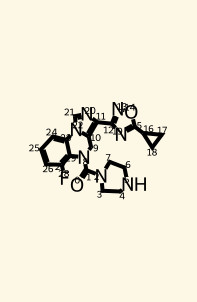 O=C(N1CCNCC1)N1Cc2c(-c3noc(C4CC4)n3)ncn2-c2cccc(F)c21